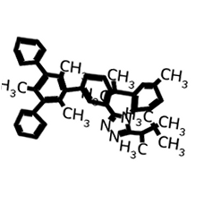 Cc1ccc(-n2c(-c3cccc(-c4c(C)c(-c5ccccc5)c(C)c(-c5ccccc5)c4C)c3)nnc2C(C)C(C)(C)C)c(C(C)C)c1